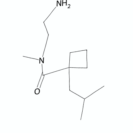 CC(C)CC1(C(=O)N(C)CCN)CCC1